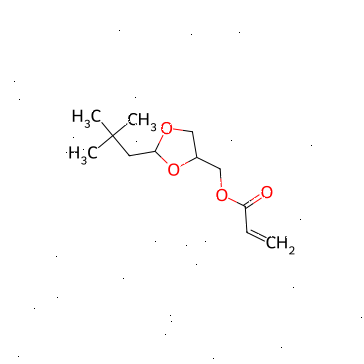 C=CC(=O)OCC1COC(CC(C)(C)C)O1